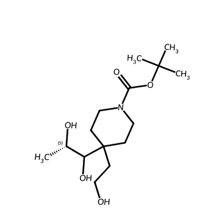 C[C@H](O)C(O)C1(CCO)CCN(C(=O)OC(C)(C)C)CC1